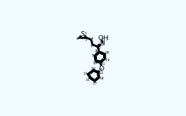 O/N=C(\CCC1CS1)c1ccc(Oc2ccccc2)cc1